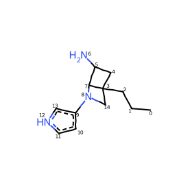 CCCC12CC(N)C1N(c1cc[nH]c1)C2